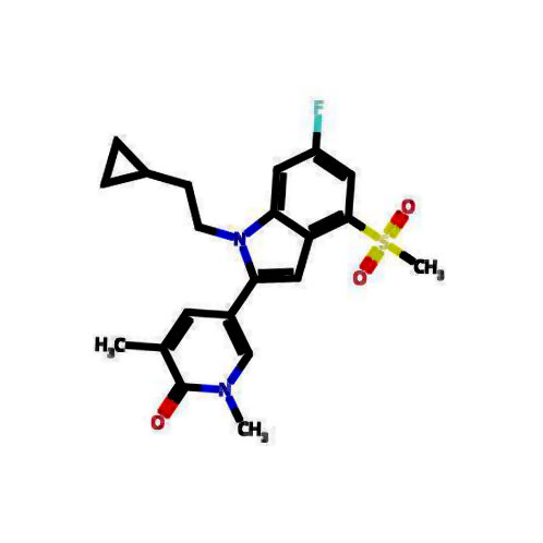 Cc1cc(-c2cc3c(S(C)(=O)=O)cc(F)cc3n2CCC2CC2)cn(C)c1=O